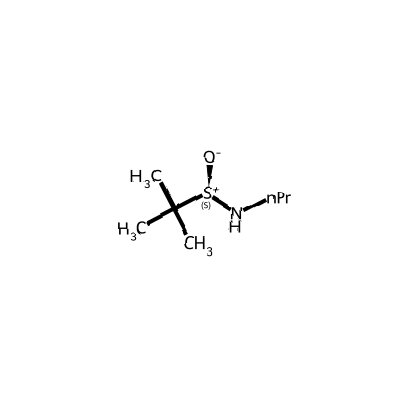 CCCN[S@+]([O-])C(C)(C)C